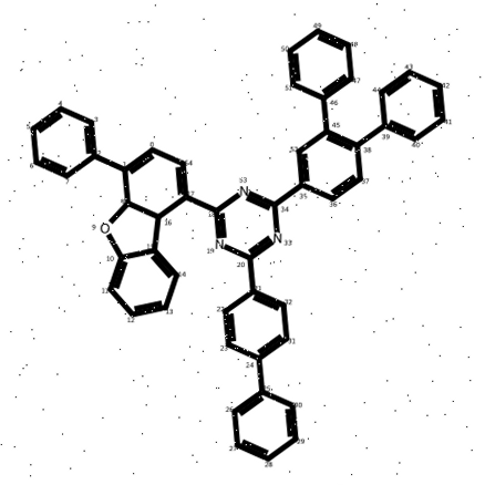 C1=C(c2ccccc2)C2Oc3ccccc3C2C(c2nc(-c3ccc(-c4ccccc4)cc3)nc(-c3ccc(-c4ccccc4)c(-c4ccccc4)c3)n2)=C1